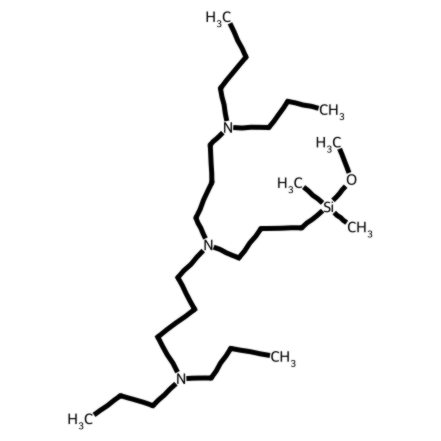 CCCN(CCC)CCCN(CCCN(CCC)CCC)CCC[Si](C)(C)OC